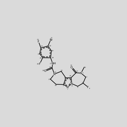 CN1CC(F)Cn2nc3c(c2C1=O)CN(C(=O)Nc1cc(Br)c(F)cc1F)CC3